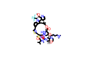 CO[C@@H](C)c1ncccc1-c1c2c3cc(ccc3n1CC(F)(F)F)-c1csc(n1)C[C@@](NC(=O)C(C(C)C)N(C)C(=O)N1C[C@@H]3OCCN(C(=O)/C=C/CN(C)C)[C@@H]3C1)(SC)C(=O)N1CCC[C@H](N1)C(=O)OCC(C)(C)C2